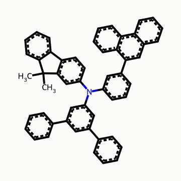 CC1(C)c2ccccc2-c2ccc(N(c3cc(-c4ccccc4)cc(-c4ccccc4)c3)c3cccc(-c4cc5ccccc5c5ccccc45)c3)cc21